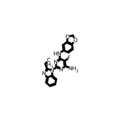 CCc1nc2ccccc2n1-c1nc(N)c(F)c(Nc2ccc3c(c2)OCO3)n1